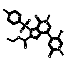 CCOC(=O)c1cc2c(-c3cc(=O)n(C)cc3Br)cn(C)c(=O)c2n1S(=O)(=O)c1ccc(C)cc1